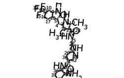 Cc1[nH]c(/C=C2\C(=O)Nc3cc(C(F)(F)F)ccc32)c(C)c1C(=O)NCCNc1ccc(C(=O)Nc2ccccc2N)cn1